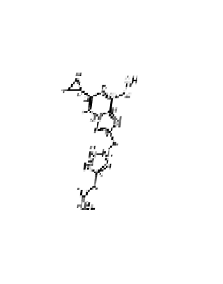 CC(C)(C)OCc1cn(Cc2cn3cc(C4CC4)cc(CO)c3n2)nn1